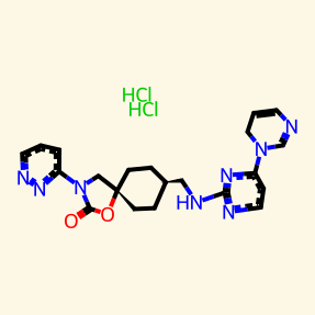 Cl.Cl.O=C1O[C@]2(CC[C@H](CNc3nccc(N4C=NC=CC4)n3)CC2)CN1c1cccnn1